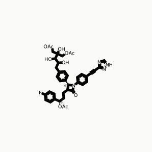 CC(=O)OCC(O)(COC(C)=O)C(O)C(O)Cc1ccc([C@@H]2C(CC[C@H](OC(C)=O)c3ccc(F)cc3)C(=O)N2c2ccc(C#Cc3nc[nH]n3)cc2)cc1